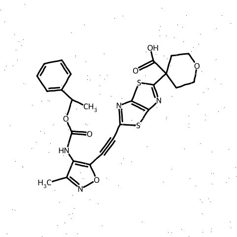 Cc1noc(C#Cc2nc3sc(C4(C(=O)O)CCOCC4)nc3s2)c1NC(=O)OC(C)c1ccccc1